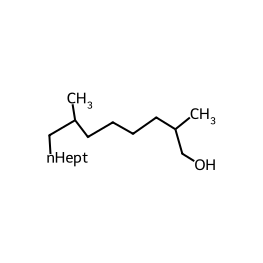 CCCCCCCCC(C)CCCCC(C)CO